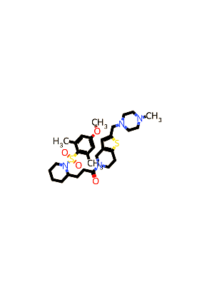 COc1cc(C)c(S(=O)(=O)N2CCCCC2CCC(=O)N2CCc3sc(CN4CCN(C)CC4)cc3C2)c(C)c1